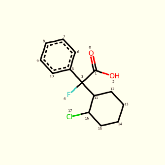 O=C(O)C(F)(c1ccccc1)C1CCCCC1Cl